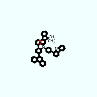 CC1(C)c2ccccc2-c2ccc(N(c3ccc(-c4cccc5c4oc4ccccc45)cc3)c3cc(-c4cc5ccccc5c5ccccc45)ccc3-c3ccccc3)cc21